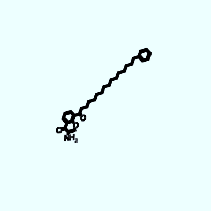 Nc1[c]oc2c(C(=O)CCCCCCCCCCCCCCCc3ccccc3)cccc2c1=O